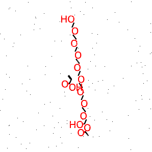 C=CC(=O)O.CC(=O)OC(O)COCCOCCOCCOCCOCCOCCOCCOCCO